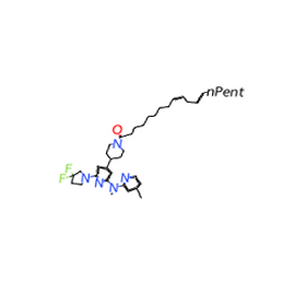 CCCCC/C=C/C/C=C\CCCCCCCC(=O)N1CCC(c2cc(N3CCC(F)(F)C3)nc(N(C)c3cc(C)ccn3)c2)CC1